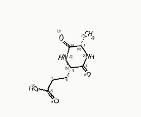 C[C@@H]1NC(=O)[C@H](CCC(=O)O)NC1=O